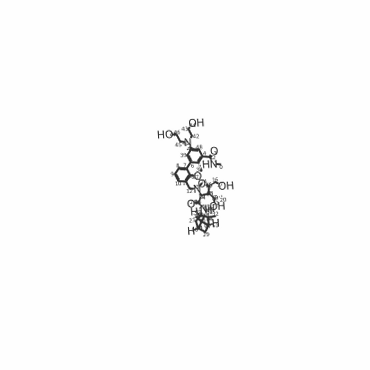 CNC(=O)c1cc(-c2cccc(CN3O[C@@H](CO)[C@@H]([C@H](C)O)[C@H]3C(=O)N[C@H]3C[C@H]4C[C@@H]([C@@H]3C)C4(C)C)c2OC)cc(N(CCO)CCO)c1